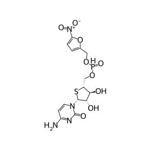 Nc1ccn([C@@H]2S[C@H](CO[PH](=O)OCc3ccc([N+](=O)[O-])o3)[C@@H](O)[C@@H]2O)c(=O)n1